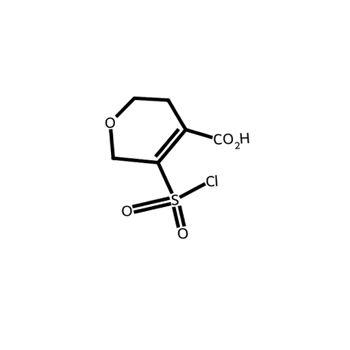 O=C(O)C1=C(S(=O)(=O)Cl)COCC1